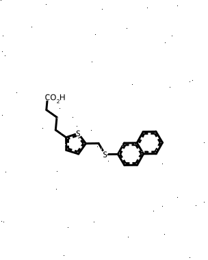 O=C(O)CCCc1ccc(CSc2ccc3ccccc3c2)s1